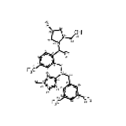 CCC(c1ccc(C(F)(F)F)cc1CN(Cc1cc(C(F)(F)F)cc(C(F)(F)F)c1)c1nnn(C)n1)N1C[C@@H](F)C[C@H]1CO